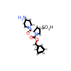 NC1CCN(C(=O)[C@@H]2C[C@H](S(=O)(=O)O)CN2C(=O)OCc2ccccc2)CC1